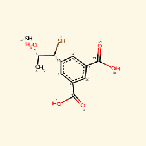 CCCS.O.O=C(O)c1cccc(C(=O)O)c1.[KH]